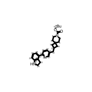 CC(C)(C)OC(=O)N1CCC2(CC1)CC(Cc1ccc(-c3cccc4c3CCN4)nc1)C2